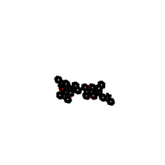 CC1(C)c2ccccc2-c2ccc(N(c3ccc4ccccc4c3)c3cccc4c3-c3ccccc3C43c4ccccc4-c4c(-c5cccc6c(N(c7ccc8c(c7)C(C)(C)c7ccccc7-8)c7cccc8c7-c7ccccc7C87c8ccccc8-c8ccccc87)cccc56)cccc43)cc21